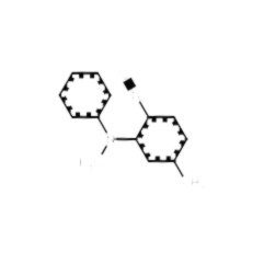 [C-]#[N+]c1ccc(C)cc1N(C)c1ccccc1